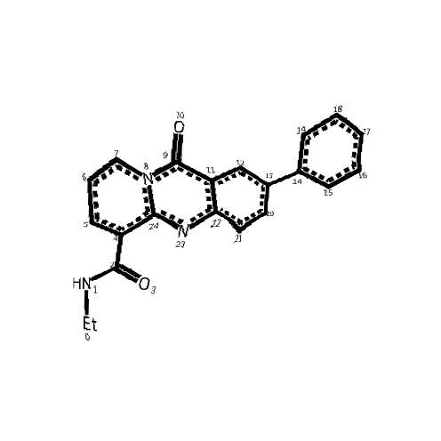 [CH2]CNC(=O)c1cccn2c(=O)c3cc(-c4ccccc4)ccc3nc12